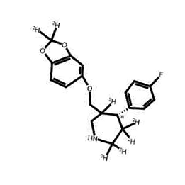 [2H]C1([2H])Oc2ccc(OCC3([2H])CNC([2H])([2H])C([2H])([2H])[C@H]3c3ccc(F)cc3)cc2O1